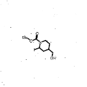 CC(C)(C)OC(=O)N1CCC(CO)CC1I